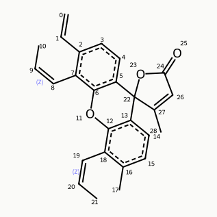 C=Cc1ccc2c(c1/C=C\C)Oc1c(ccc(C)c1/C=C\C)C21OC(=O)C=C1C